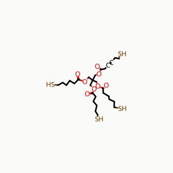 O=C(CCCCCS)OCC(COC(=O)CCCCCS)(COC(=O)CCCCCS)COC(=O)CCCCCS